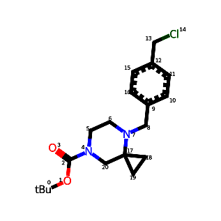 CC(C)(C)OC(=O)N1CCN(Cc2ccc(CCl)cc2)C2(CC2)C1